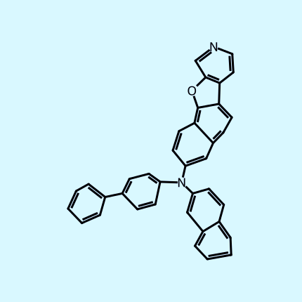 c1ccc(-c2ccc(N(c3ccc4ccccc4c3)c3ccc4c(ccc5c6ccncc6oc45)c3)cc2)cc1